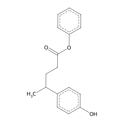 CC(CCC(=O)Oc1ccccc1)c1ccc(O)cc1